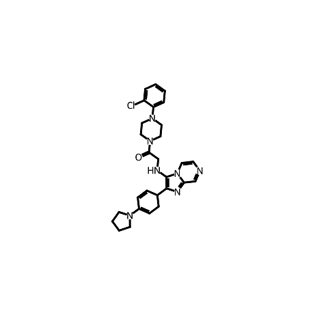 O=C(CNc1c(C2C=CC(N3CCCC3)=CC2)nc2cnccn12)N1CCN(c2ccccc2Cl)CC1